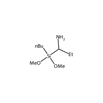 CCCC[Si](OC)(OC)C(N)CC